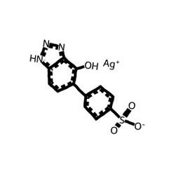 O=S(=O)([O-])c1ccc(-c2ccc3[nH]nnc3c2O)cc1.[Ag+]